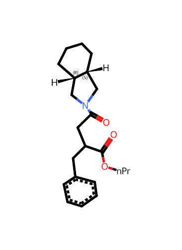 CCCOC(=O)C(CC(=O)N1C[C@H]2CCCC[C@H]2C1)Cc1ccccc1